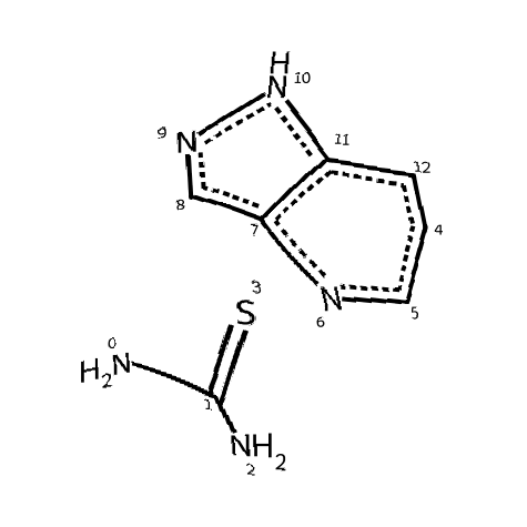 NC(N)=S.c1cnc2cn[nH]c2c1